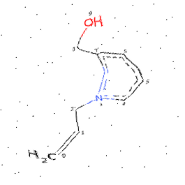 C=CCn1cccc1CO